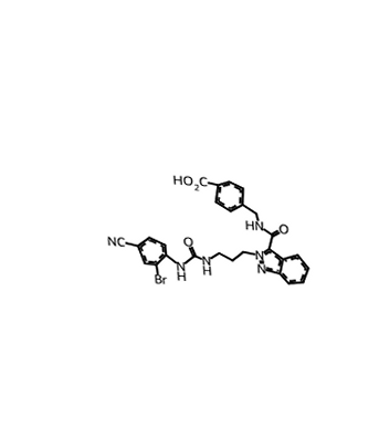 N#Cc1ccc(NC(=O)NCCCn2nc3ccccc3c2C(=O)NCc2ccc(C(=O)O)cc2)c(Br)c1